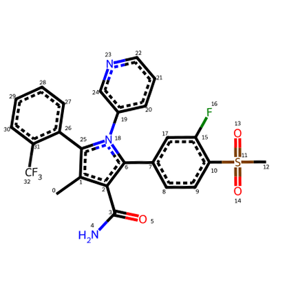 Cc1c(C(N)=O)c(-c2ccc(S(C)(=O)=O)c(F)c2)n(-c2cccnc2)c1-c1ccccc1C(F)(F)F